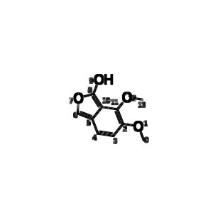 COc1ccc2coc(O)c2c1OC